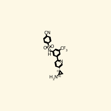 N#Cc1ccc(S(=O)(=O)Nc2cc(-c3ccc([C@@H]4C[C@H]4N)cn3)cc(C(F)(F)F)c2)cc1